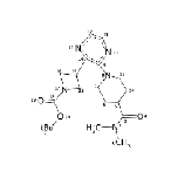 CN(C)C(=O)C1CCN(c2nccnc2C2CN(C(=O)OC(C)(C)C)C2)CC1